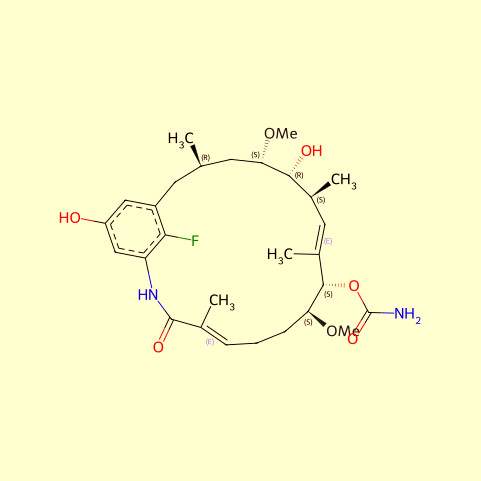 CO[C@H]1C[C@H](C)Cc2cc(O)cc(c2F)NC(=O)/C(C)=C/CC[C@H](OC)[C@@H](OC(N)=O)/C(C)=C/[C@H](C)[C@H]1O